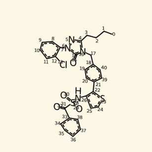 CCCCc1nn(-c2ccccc2Cl)c(=O)n1Cc1ccc(-c2sccc2NS(=O)(=O)C(=O)c2ccccc2)cc1